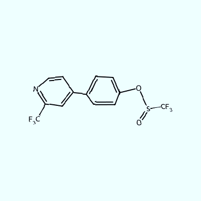 O=S(Oc1ccc(-c2ccnc(C(F)(F)F)c2)cc1)C(F)(F)F